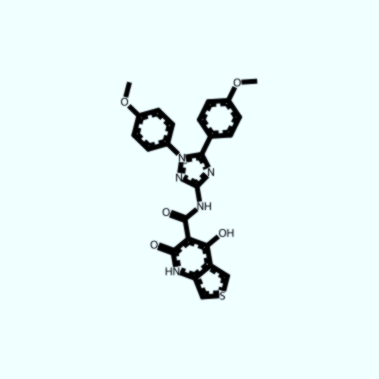 COc1ccc(-c2nc(NC(=O)c3c(O)c4cscc4[nH]c3=O)nn2-c2ccc(OC)cc2)cc1